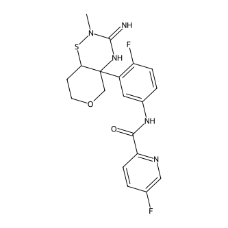 CN1SC2CCOCC2(c2cc(NC(=O)c3ccc(F)cn3)ccc2F)NC1=N